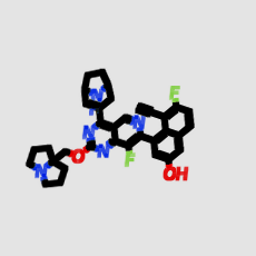 C#Cc1c(F)ccc2cc(O)cc(-c3ncc4c(C5=CC6CCC(C5)N6)nc(OCC56CCCN5CCC6)nc4c3F)c12